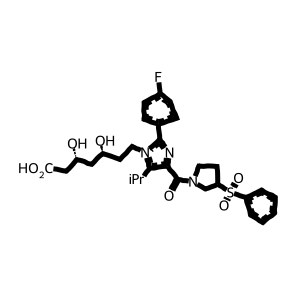 CC(C)c1c(C(=O)N2CCC(S(=O)(=O)c3ccccc3)C2)nc(-c2ccc(F)cc2)n1CC[C@@H](O)C[C@@H](O)CC(=O)O